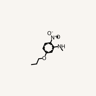 CCCOc1ccc([N+](=O)[O-])c(NC)c1